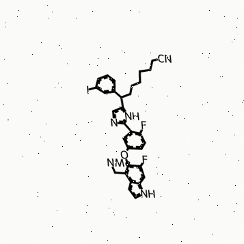 CNCc1c(Oc2ccc(F)c(-c3ncc(C(CCCCCCC#N)c4cccc(I)c4)[nH]3)c2)c(F)cc2[nH]ccc12